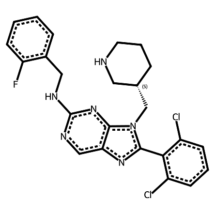 Fc1ccccc1CNc1ncc2nc(-c3c(Cl)cccc3Cl)n(C[C@H]3CCCNC3)c2n1